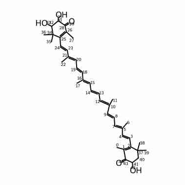 CC1=C(/C=C/C(C)=C/C=C/C(C)=C/C=C/C=C(C)/C=C/C=C(C)/C=C/C2=C(C)C(=O)C(O)C(O)C2(C)C)C(C)(C)CC(O)C1=O